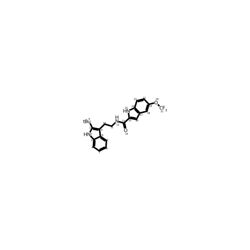 CC(C)(C)c1[nH]c2ccccc2c1CCNC(=O)c1cc2cc(OC(F)(F)F)ccc2[nH]1